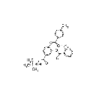 Cc1ccc(C(=O)Oc2ccc(C(=O)CNC(C)(C)C)cc2OC(=O)c2ccccc2C)cc1